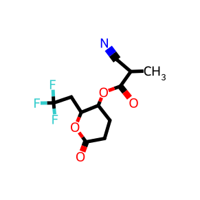 CC(C#N)C(=O)OC1CCC(=O)OC1CC(F)(F)F